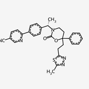 Cc1nnc(CCC2(c3ccccc3)CCN([C@@H](C)c3ccc(-c4ccc(C#N)cn4)cc3)C(=O)O2)s1